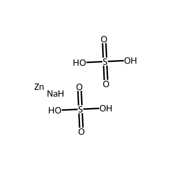 O=S(=O)(O)O.O=S(=O)(O)O.[NaH].[Zn]